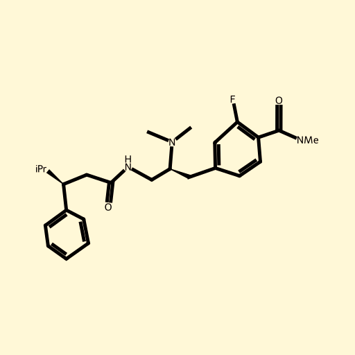 CNC(=O)c1ccc(C[C@@H](CNC(=O)C[C@@H](c2ccccc2)C(C)C)N(C)C)cc1F